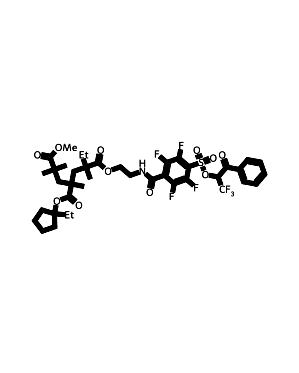 CCC1(OC(=O)C(C)(CC(C)(C)C(=O)OC)CC(C)(CC)C(=O)OCCNC(=O)c2c(F)c(F)c(S(=O)(=O)OC(C(=O)c3ccccc3)C(F)(F)F)c(F)c2F)CCCC1